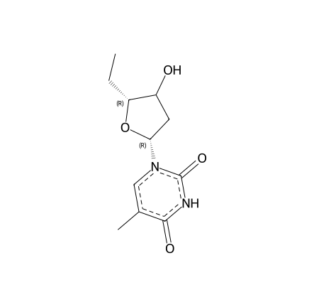 CC[C@H]1O[C@@H](n2cc(C)c(=O)[nH]c2=O)CC1O